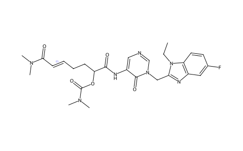 CCn1c(Cn2cncc(NC(=O)C(CC/C=C/C(=O)N(C)C)OC(=O)N(C)C)c2=O)nc2cc(F)ccc21